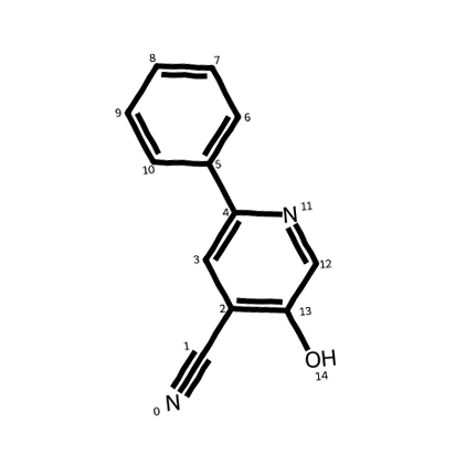 N#Cc1cc(-c2ccccc2)ncc1O